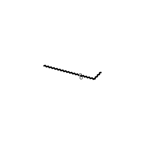 CCCCCC/C=C\CCCCCCCC(=O)OCCCCCCCCCCCCCCCCCCCCCCCCC